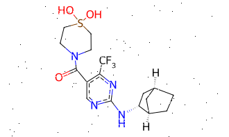 O=C(c1cnc(N[C@@H]2C[C@H]3CC[C@@H]2C3)nc1C(F)(F)F)N1CCS(O)(O)CC1